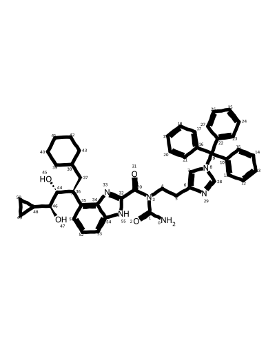 NC(=O)N(CCc1cn(C(c2ccccc2)(c2ccccc2)c2ccccc2)cn1)C(=O)c1nc2c([C@H](CC3CCCCC3)[C@@H](O)[C@@H](O)C3CC3)cccc2[nH]1